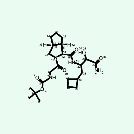 CC(C)(C)OC(=O)NCC(=O)N1C[C@@H]2CCC[C@@H]2[C@H]1C(=O)NC(CC1CCC1)C(O)C(N)=O